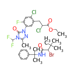 CC(C)(NC(=O)C(Br)C(C)(C)C)c1ccccc1.CCOC(=O)C(Cl)Cc1cc(-n2nc(C)n(C(F)F)c2=O)c(F)cc1Cl